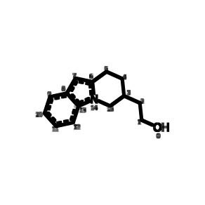 OCCC1CCc2cc3ccccc3n2C1